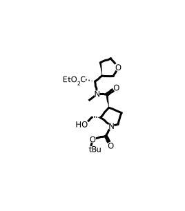 CCOC(=O)[C@H]([C@H]1CCOC1)N(C)C(=O)[C@H]1CCN(C(=O)OC(C)(C)C)[C@@H]1CO